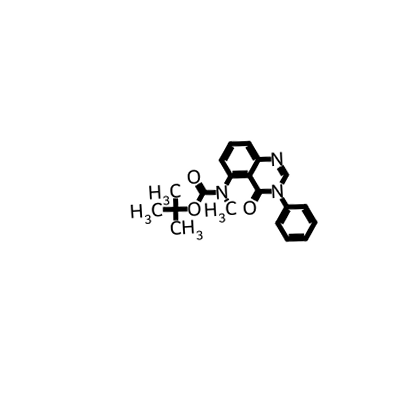 CN(C(=O)OC(C)(C)C)c1cccc2ncn(-c3ccccc3)c(=O)c12